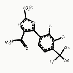 CCOC(=O)c1nc(C(N)=O)c(-c2ccc(C(O)(C(F)(F)F)C(F)(F)F)c(Cl)c2Cl)s1